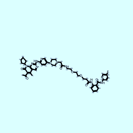 CC(=O)c1c(C)c2cnc(Nc3ccc(N4CCN(CC(=O)NCCOCCOCCC(=O)Nc5ccccc5C(=O)Nc5ccc(F)cn5)CC4)cn3)nc2n(C2CCCC2)c1=O